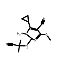 COC1=NC(NC(C)(C)C#N)N(N)C(C2CC2)=C1C#N